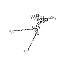 CCCCCCCCCCCCCCCC(=O)OCC(COC(=O)CCCCCCCCCCCCCCC)OC(=O)CC(=O)OC(COc1ccc(CCC)cc1)CN(C(=O)OC(C)(C)C)C(C)C